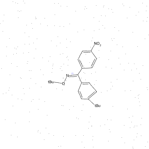 CC(C)(C)O/N=C(/c1ccc([N+](=O)[O-])cc1)c1ccc(C(C)(C)C)cc1